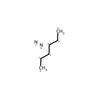 CCCCCC.[N].[N]